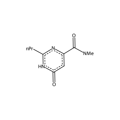 CCCc1nc(C(=O)NC)cc(=O)[nH]1